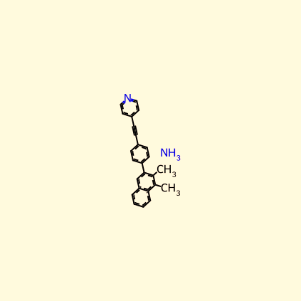 Cc1c(-c2ccc(C#Cc3ccncc3)cc2)cc2ccccc2c1C.N